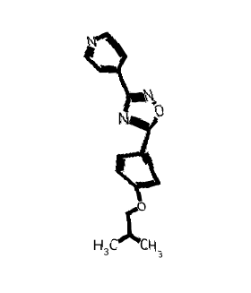 CC(C)COc1ccc(-c2nc(-c3ccncc3)no2)cc1